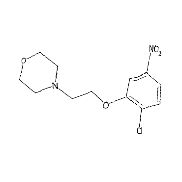 O=[N+]([O-])c1ccc(Cl)c(OCCN2CCOCC2)c1